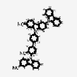 N#Cc1ccc2c(c1)c1ccccc1n2-c1ccc(-c2ccc(-n3c4ccc(-n5c6ccccc6c6ccccc65)cc4c4ccc(C#N)cc43)cc2)cc1C#N